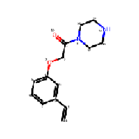 C=Cc1cccc(OCC(=O)N2CCNCC2)c1